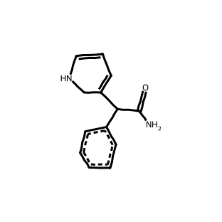 NC(=O)C(C1=CC=CNC1)c1ccccc1